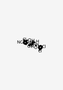 Cc1c(N2C(=O)[C@@H]3[C@@H]4C[C@@H](CN4C(=O)Nc4cc(Cl)cc(Cl)c4)N3C2=O)ccc(C#N)c1Cl